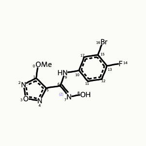 COc1nonc1/C(=N/O)Nc1ccc(F)c(Br)c1